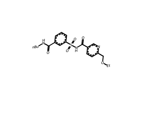 CCCCNC(=O)c1cccc(S(=O)(=O)NC(=O)c2ccc(COCC)nc2)c1